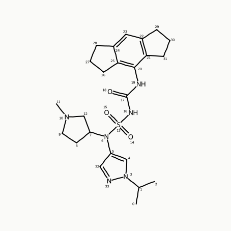 CC(C)n1cc(N(C2CCN(C)C2)S(=O)(=O)NC(=O)Nc2c3c(cc4c2CCC4)CCC3)cn1